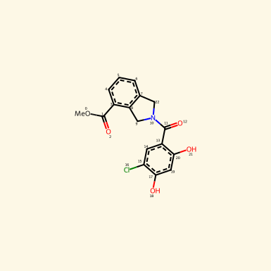 COC(=O)c1cccc2c1CN(C(=O)c1cc(Cl)c(O)cc1O)C2